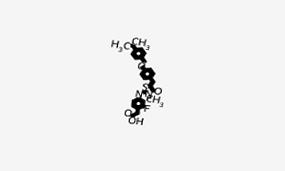 CC(C)c1ccc(COc2ccc(/C=C3\S/C(=N/c4ccc(CC(=O)O)c(F)c4)N(C)C3=O)cc2)cc1